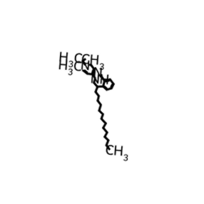 CCCCCCCCCCCCCCC(CNC1=CCN(C(C)(C)C)C=C1)c1ccccc1C#N